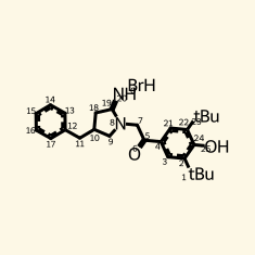 Br.CC(C)(C)c1cc(C(=O)CN2CC(Cc3ccccc3)CC2=N)cc(C(C)(C)C)c1O